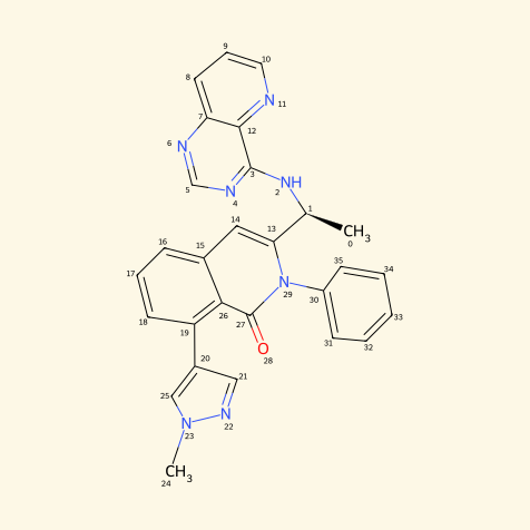 C[C@H](Nc1ncnc2cccnc12)c1cc2cccc(-c3cnn(C)c3)c2c(=O)n1-c1ccccc1